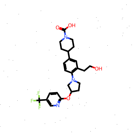 O=C(O)N1CCC(c2ccc(N3CCC(Oc4ccc(C(F)(F)F)cn4)C3)c(CCO)c2)CC1